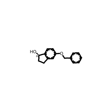 O[C@@H]1CCc2cc(OCc3ccccc3)ccc21